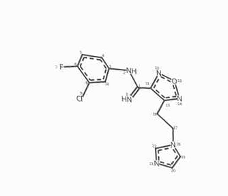 N=C(Nc1ccc(F)c(Cl)c1)c1nonc1CCn1ccnc1